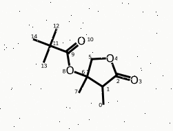 CC1C(=O)OCC1(C)OC(=O)C(C)(C)C